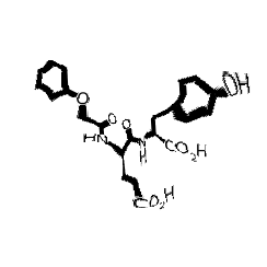 O=C(O)CC[C@@H](NC(=O)COc1ccccc1)C(=O)N[C@@H](Cc1ccc(O)cc1)C(=O)O